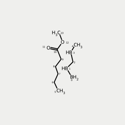 BBCBC.CCCCCC(=O)OC